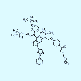 C=C(OCC)c1c(C(COC2CCC(C(=O)OCCOC)CC2)OC)nc2c(-c3cnn(-c4ccccc4)c3)cnn2c1N(COCC[Si](C)(C)C)COCC[Si](C)(C)C